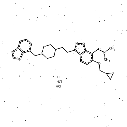 CN(C)Cc1c(OCC2CC2)ccc2c(CCC3CCN(Cc4cccn5ccnc45)CC3)noc12.Cl.Cl.Cl